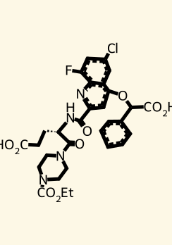 CCOC(=O)N1CCN(C(=O)[C@H](CCC(=O)O)NC(=O)c2cc(OC(C(=O)O)c3ccccc3)c3cc(Cl)cc(F)c3n2)CC1